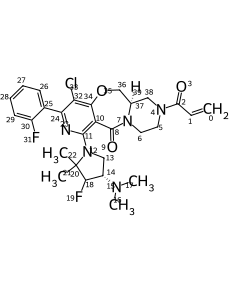 C=CC(=O)N1CCN2C(=O)c3c(N4C[C@H](N(C)C)C(F)C4(C)C)nc(-c4ccccc4F)c(Cl)c3OC[C@H]2C1